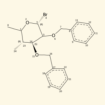 CC1O[C@H](Br)C(OCc2ccccc2)[C@@H](OCc2ccccc2)[C@@H]1C